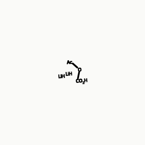 CC(=O)OC(=O)O.[LiH].[LiH]